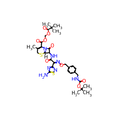 CC1=C(C(=O)OCOC(=O)C(C)(C)C)N2C(=O)C(NC(=O)C(=NOCc3ccc(CNC(=O)OC(C)(C)C)cc3)c3nsc(N)n3)[C@@H]2SC1